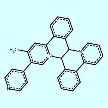 Cc1cc2[n+](cc1-c1ccncc1)C1c3ccccc3-c3cccc[n+]3C1c1ccccc1-2